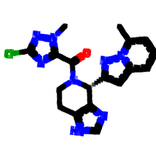 Cc1cccc2cc([C@@H]3c4nc[nH]c4CCN3C(=O)c3nc(Cl)nn3C)nn12